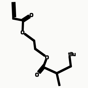 C=CC(=O)OCCOC(=O)C(C)CC(C)(C)C